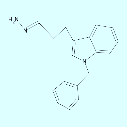 NN=CCCc1cn(Cc2ccccc2)c2ccccc12